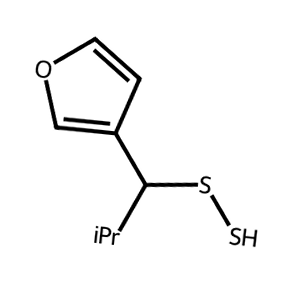 CC(C)C(SS)c1ccoc1